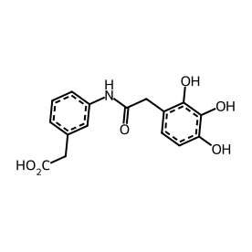 O=C(O)Cc1cccc(NC(=O)Cc2ccc(O)c(O)c2O)c1